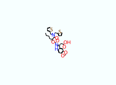 CCCC[C@H](OC(=O)N[C@@H](CC(=O)O)c1ccc2c(c1)OCO2)C(=O)N(Cc1cccs1)Cc1cccs1